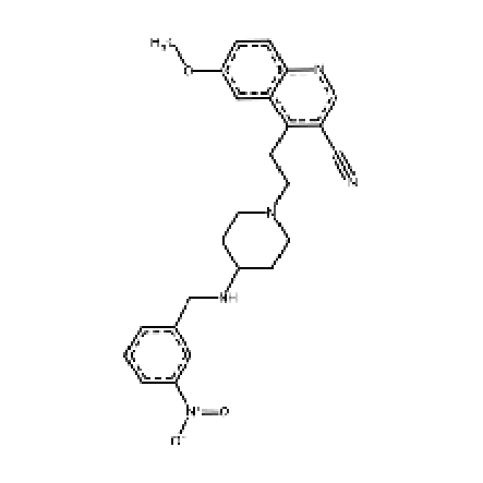 COc1ccc2ncc(C#N)c(CCN3CCC(NCc4cccc([N+](=O)[O-])c4)CC3)c2c1